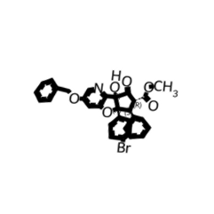 COC(=O)[C@H]1C(=O)[C@@]2(O)c3ncc(OCc4ccccc4)cc3O[C@@]2(c2ccc(Br)cc2)[C@@H]1c1ccccc1